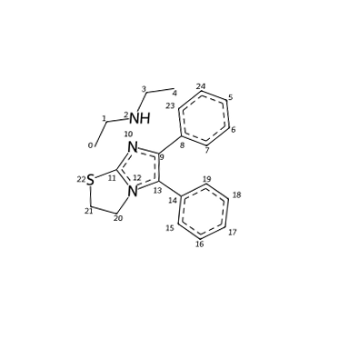 CCNCC.c1ccc(-c2nc3n(c2-c2ccccc2)CCS3)cc1